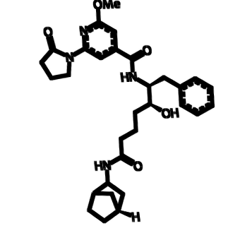 COc1cc(C(=O)N[C@@H](Cc2ccccc2)[C@@H](O)CCCC(=O)NC2C[C@@H]3CCC2C3)cc(N2CCCC2=O)n1